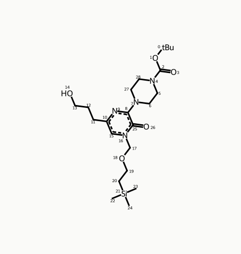 CC(C)(C)OC(=O)N1CCN(c2nc(CCCO)cn(COCC[Si](C)(C)C)c2=O)CC1